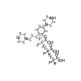 O=C(O)C(F)(F)F.O=C(O)C(F)(F)F.O=C(O)C(F)(F)F.c1cc(N2CCNCC2)ccc1CCCN1CCOCC1